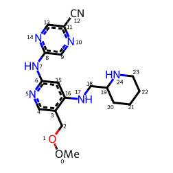 COOCc1cnc(Nc2cnc(C#N)cn2)cc1NCC1CCCCN1